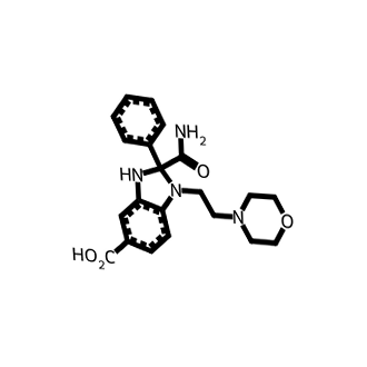 NC(=O)C1(c2ccccc2)Nc2cc(C(=O)O)ccc2N1CCN1CCOCC1